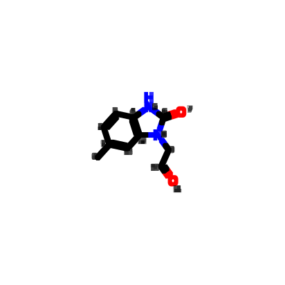 Cc1ccc2[nH]c(=O)n(CC=O)c2c1